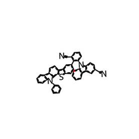 N#Cc1ccc2c(c1)c1ccccc1n2-c1cccc(C#N)c1-c1ccc2sc3c(ccc4c5ccccc5n(-c5ccccc5)c43)c2c1